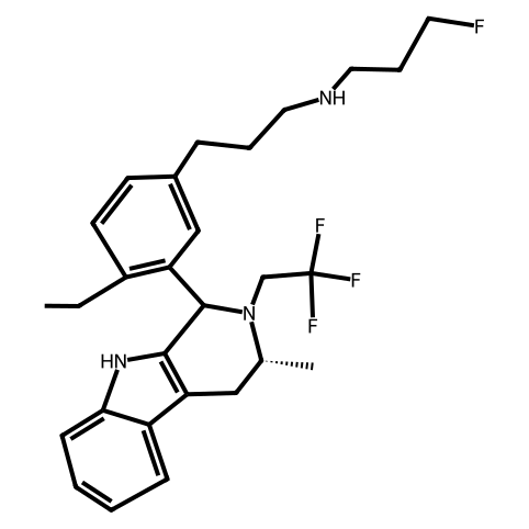 CCc1ccc(CCCNCCCF)cc1C1c2[nH]c3ccccc3c2C[C@@H](C)N1CC(F)(F)F